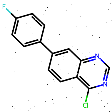 Fc1ccc(-c2ccc3c(Cl)ncnc3c2)cc1